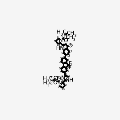 CC(C)(C)OC(=O)N1CCCC1c1cc(=O)c2ccc(-c3ccc4c(c3)C(F)(F)c3cc(-c5c[nH]c(C6CCCN6C(=O)OC(C)(C)C)n5)ccc3-4)cc2[nH]1